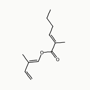 C=CC(C)=COC(=O)C(C)=CCCC